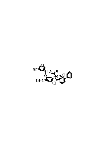 CC1(Cl)C(c2ccccc2)=CC=CC1(COc1cc(OCc2cncc(C#N)c2)c(C=O)cc1Cl)OCC(O)CO